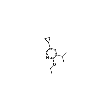 CCOc1ncc(C2CC2)cc1C(C)C